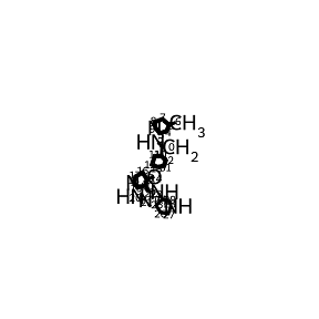 C=C(Nc1cc(C)ccn1)c1ccc(Oc2ccnc3[nH]nc(N[C@@H]4CCCNC4)c23)cc1